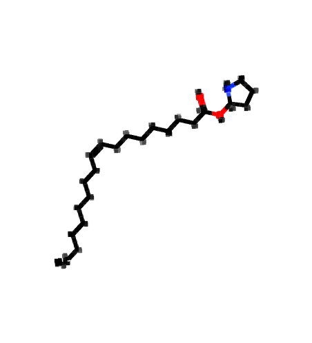 CCCCCCCC/C=C\CCCCCCCC(=O)OC1CCC[N]1